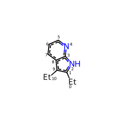 CCc1[nH]c2ncccc2c1CC